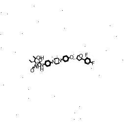 CC[C@@H](C(C)O)N(NC=O)C(=O)Nc1ccc(N2CCN(c3ccc(OC[C@@H]4COC(c5ccc(F)cc5F)C4)cc3)CC2)cc1